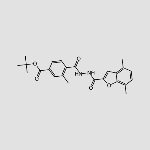 Cc1cc(C(=O)OC(C)(C)C)ccc1C(=O)NNC(=O)c1cc2c(C)ccc(C)c2o1